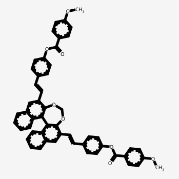 COc1ccc(C(=O)Oc2ccc(/C=C/c3cc4ccccc4c4c3OCOc3c(/C=C/c5ccc(OC(=O)c6ccc(OC)cc6)cc5)cc5ccccc5c3-4)cc2)cc1